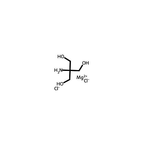 NC(CO)(CO)CO.[Cl-].[Cl-].[Mg+2]